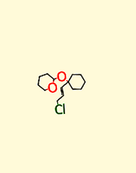 ClCC=CC1(OC2CCCCO2)CCCCC1